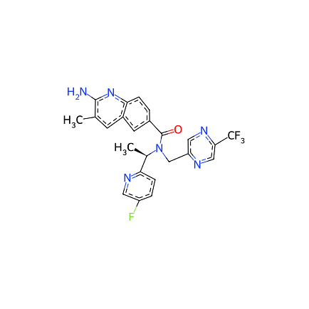 Cc1cc2cc(C(=O)N(Cc3cnc(C(F)(F)F)cn3)[C@H](C)c3ccc(F)cn3)ccc2nc1N